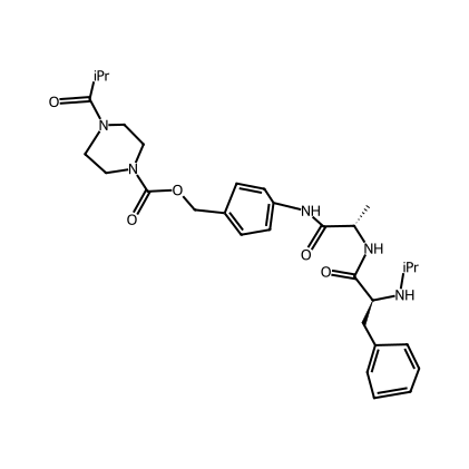 CC(C)N[C@@H](Cc1ccccc1)C(=O)N[C@@H](C)C(=O)Nc1ccc(COC(=O)N2CCN(C(=O)C(C)C)CC2)cc1